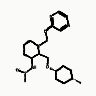 C[S+]([O-])NC1CCCN(COc2cnccn2)C1CO[C@H]1CC[C@@H](C)CC1